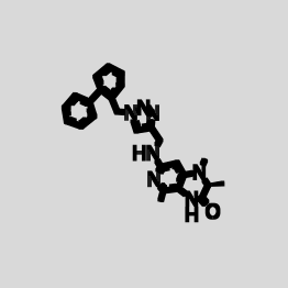 Cc1nc(NCc2cn(Cc3ccccc3-c3ccccc3)nn2)cc2c1NC(=O)[C@H](C)N2C